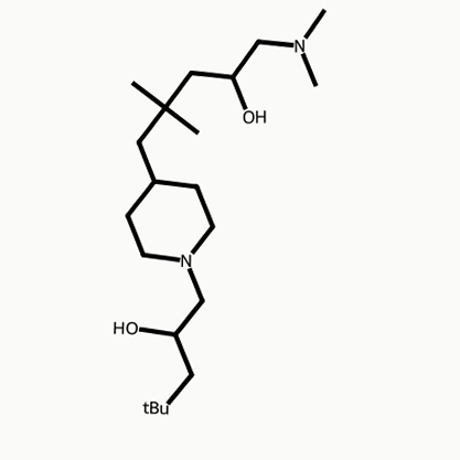 CN(C)CC(O)CC(C)(C)CC1CCN(CC(O)CC(C)(C)C)CC1